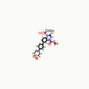 COC(O)N1c2ccc(-c3ccc(N4CCS(=O)(=O)CC4)cc3)cc2N(C(=O)OC(C)C)C[C@@H]1C